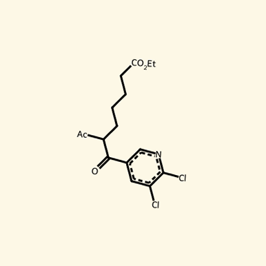 CCOC(=O)CCCCC(C(C)=O)C(=O)c1cnc(Cl)c(Cl)c1